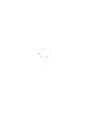 BC1OC2(COC)[C@H](OC)C1OC21CC1